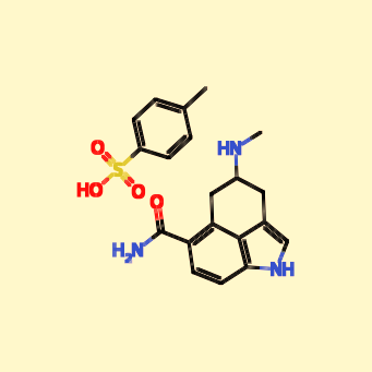 CNC1Cc2c[nH]c3ccc(C(N)=O)c(c23)C1.Cc1ccc(S(=O)(=O)O)cc1